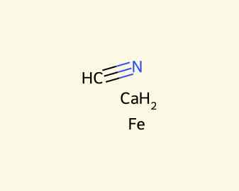 C#N.[CaH2].[Fe]